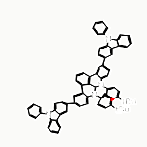 CC(C)(C)c1ccc(N2c3ccc(-c4ccc5c(c4)c4ccccc4n5-c4ccccc4)cc3-c3cccc4c3C2N(c2ccc(C(C)(C)C)cc2)c2ccc(-c3ccc5c(c3)c3ccccc3n5-c3ccccc3)cc2-4)cc1